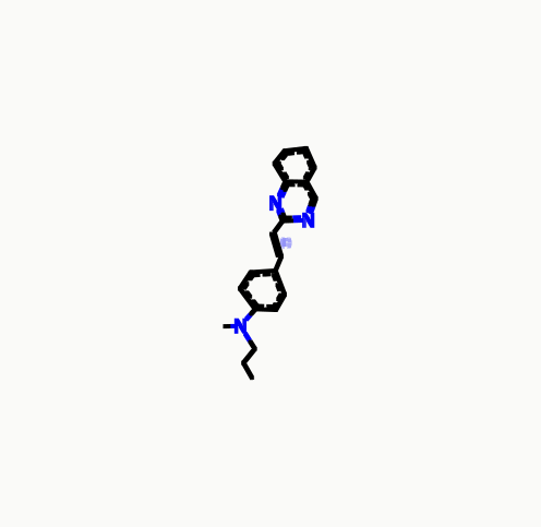 CCCN(C)c1ccc(/C=C/c2ncc3ccccc3n2)cc1